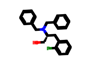 OC[C@@H](Cc1ccccc1F)N(Cc1ccccc1)Cc1ccccc1